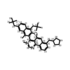 Cc1c2c(c(CC(C)(C)C)c3ccc(CC(C)(C)C)cc13)Oc1cc3c(CC4CCCC4)cccc3c3nc[n+](C)c-2c13